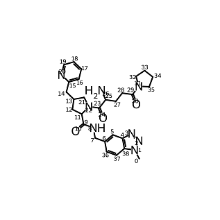 Cn1nnc2cc(CNC(=O)C3CC(Cc4ccccn4)CN3C(=O)C(N)CCC(=O)N3CCCC3)ccc21